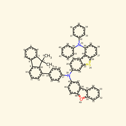 CC1(C)c2ccccc2-c2cccc(-c3ccc(N(c4ccc5c(c4)sc4cccc(N(c6ccccc6)c6ccccc6)c45)c4ccc5oc6ccccc6c5c4)cc3)c21